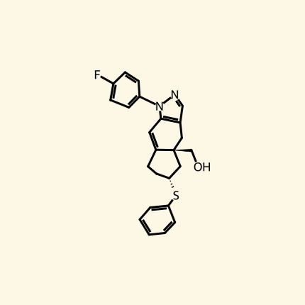 OC[C@]12Cc3cnn(-c4ccc(F)cc4)c3C=C1CC[C@@H](Sc1ccccc1)C2